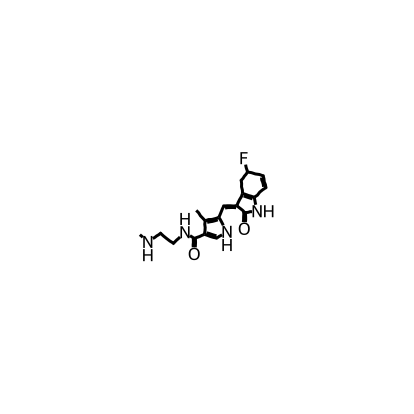 CNCCNC(=O)c1c[nH]c(/C=C2\C(=O)NC3=C2CC(F)C=C3)c1C